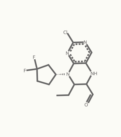 CCC1C(C=O)Nc2cnc(Cl)nc2N1[C@@H]1CCC(F)(F)C1